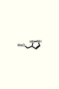 COCC1C=CNN1